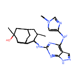 CC1CC2CC(CC(C)(O)C2)C1Nc1nc(Nc2cn(C)cn2)c2cn[nH]c2n1